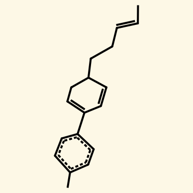 C/C=C/CCC1C=CC(c2ccc(C)cc2)=CC1